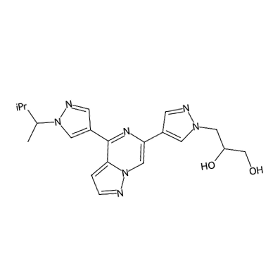 CC(C)C(C)n1cc(-c2nc(-c3cnn(CC(O)CO)c3)cn3nccc23)cn1